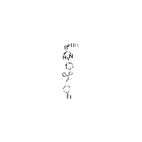 CCCCCCCCOc1cnc(-c2ccc(OC(=O)CC[C@H]3CC[C@H](CC)CC3)cc2)nc1